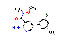 CON(C)C(=O)c1cc(-c2cc(C)cc(Cl)c2)cnc1N